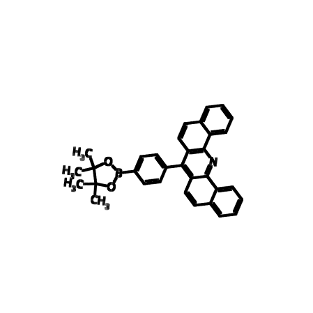 CC1(C)OB(c2ccc(-c3c4ccc5ccccc5c4nc4c3ccc3ccccc34)cc2)OC1(C)C